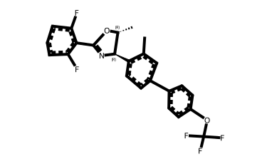 Cc1cc(-c2ccc(OC(F)(F)F)cc2)ccc1[C@H]1N=C(c2c(F)cccc2F)O[C@@H]1C